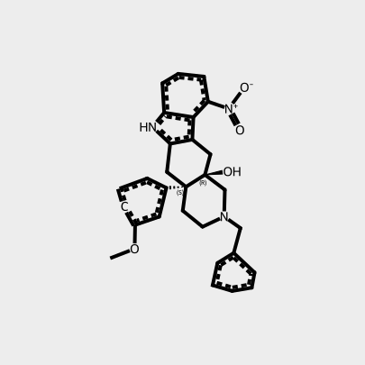 COc1cccc([C@@]23CCN(Cc4ccccc4)C[C@@]2(O)Cc2c([nH]c4cccc([N+](=O)[O-])c24)C3)c1